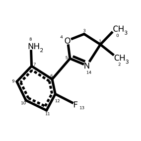 CC1(C)COC(c2c(N)cccc2F)=N1